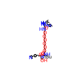 CC1=C(C)C2C(c3ccc(C)cc3)NC(CC(=O)NCCOCCOCCOCCOCCOCCOCC(=O)NC(C(=O)N3CC(O)CC3C(=O)CCc3ccc(C4=C(C)N=CC4)cc3)C(C)(C)C)c3nnc(C)n3C2C1